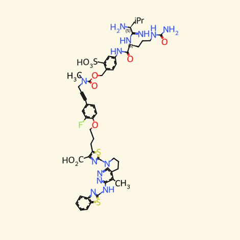 Cc1c(Nc2nc3ccccc3s2)nnc2c1CCCN2c1nc(C(=O)O)c(CCCOc2ccc(C#CCN(C)C(=O)OCc3ccc(NC(=O)[C@H](CCCNC(N)=O)NC(=N)[C@@H](N)C(C)C)cc3S(=O)(=O)O)cc2F)s1